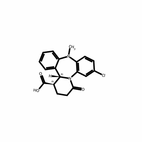 CN1c2ccccc2[C@H]2[C@H](C(=O)O)CCC(=O)N2c2cc(Cl)ccc21